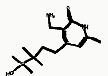 Cc1cc(CCC(C)(C)[Si](C)(C)O)c(CN)c(=O)[nH]1